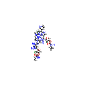 Cc1nc(Nc2cc([C@@H]3OC[C@H](OC(=O)NC45CC(C4)C5)[C@H]3F)[nH][n+]2-c2cnc(Nc3cc([C@H]4OC[C@@H](OC(=O)NC5(C)CC5)[C@@H]4F)[nH]n3)n3cc(CN4CC(F)(F)C4)nc23)n2ccnc2c1-c1cccnc1